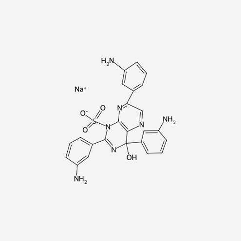 Nc1cccc(C2=NC(O)(c3cccc(N)c3)c3ncc(-c4cccc(N)c4)nc3N2S(=O)(=O)[O-])c1.[Na+]